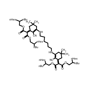 CCCCCCC(CCCC)COC(=O)C(C(=O)OCC(CCCC)CCCCCC)=C1CC(C)(C)CC(NCCCCCCNC2=C(C#N)C(=C(C(=O)OCC(CCCC)CCCCCC)C(=O)OCC(CCCC)CCCCCC)CC(C)(C)C2)=C1C#N